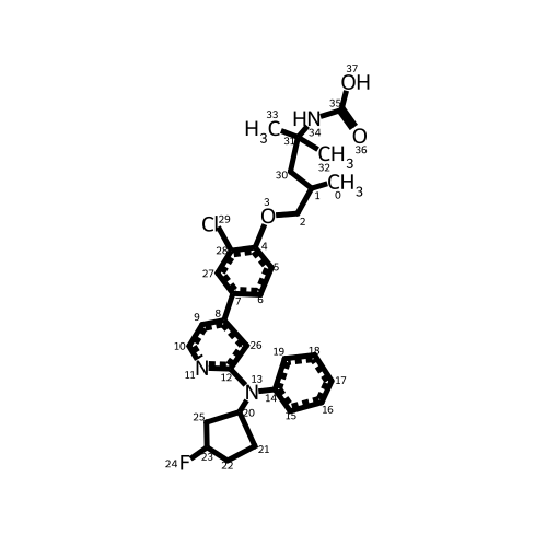 CC(COc1ccc(-c2ccnc(N(c3ccccc3)C3CCC(F)C3)c2)cc1Cl)CC(C)(C)NC(=O)O